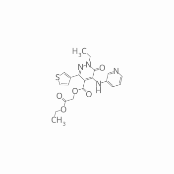 CCOC(=O)COC(=O)c1c(-c2ccsc2)nn(CC)c(=O)c1Nc1cccnc1